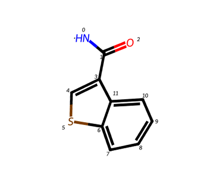 [NH]C(=O)c1csc2ccccc12